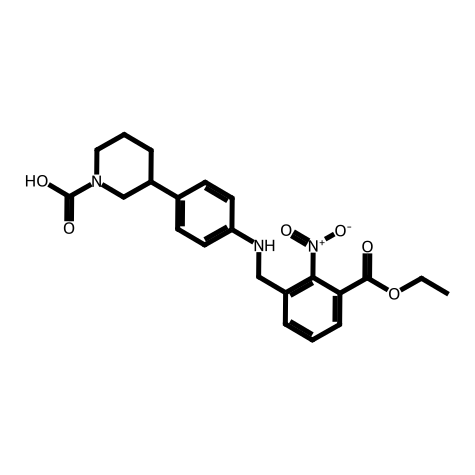 CCOC(=O)c1cccc(CNc2ccc(C3CCCN(C(=O)O)C3)cc2)c1[N+](=O)[O-]